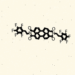 O=C1c2ccc3c4ccc5c6c(ccc(c7ccc(c2c37)C(=O)N1CCc1c(F)c(F)c(F)c(F)c1F)c64)C(=O)N(CCc1c(F)c(F)c(F)c(F)c1F)C5=O